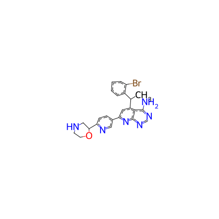 CC(c1ccccc1Br)c1cc(-c2ccc(C3CNCCO3)nc2)nc2ncnc(N)c12